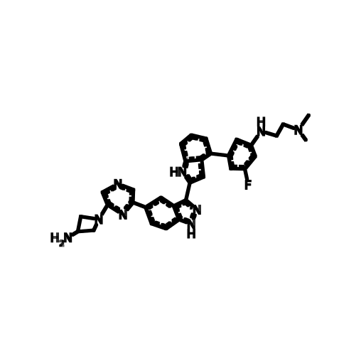 CN(C)CCNc1cc(F)cc(-c2cccc3[nH]c(-c4n[nH]c5ccc(-c6cncc(N7CC(N)C7)n6)cc45)cc23)c1